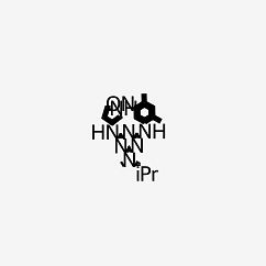 Cc1cc(C)c(Nc2nc(N[C@H]3CCNC3)nc(N(C)CC(C)C)n2)cc1N=O